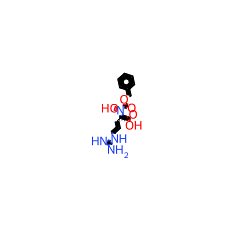 N=C(N)NCCC[C@@H](C(=O)O)N(O)C(=O)OCc1ccccc1